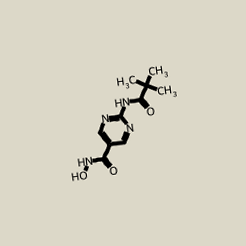 CC(C)(C)C(=O)Nc1ncc(C(=O)NO)cn1